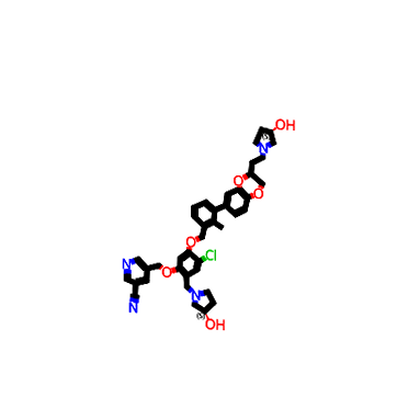 Cc1c(COc2cc(OCc3cncc(C#N)c3)c(CN3CC[C@H](O)C3)cc2Cl)cccc1-c1ccc2c(c1)OC(CCN1CC[C@H](O)C1)CO2